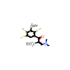 CCOC(=O)/C(=C/N(C)C)C(=O)c1cc(F)c(F)c(OC)c1F